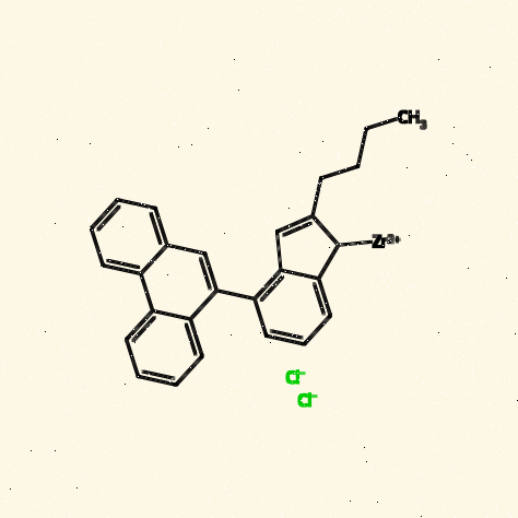 CCCCC1=Cc2c(-c3cc4ccccc4c4ccccc34)cccc2[CH]1[Zr+2].[Cl-].[Cl-]